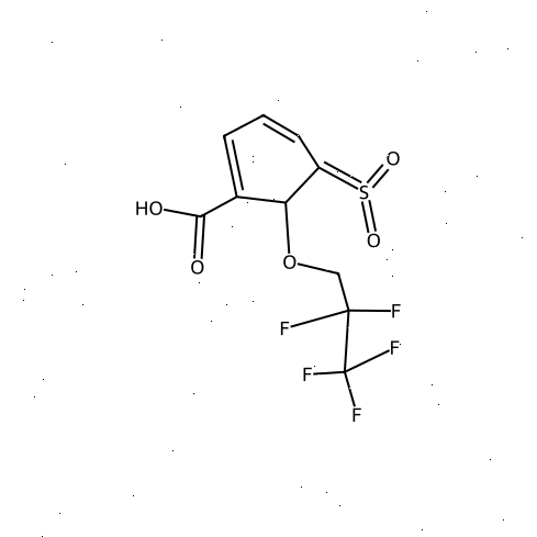 O=C(O)C1=CC=CC(=S(=O)=O)C1OCC(F)(F)C(F)(F)F